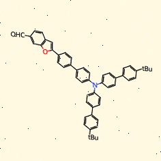 CC(C)(C)c1ccc(-c2ccc(N(c3ccc(-c4ccc(-c5cc6ccc(C=O)cc6o5)cc4)cc3)c3ccc(-c4ccc(C(C)(C)C)cc4)cc3)cc2)cc1